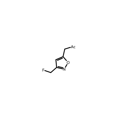 CC(=O)Cc1cc(CF)no1